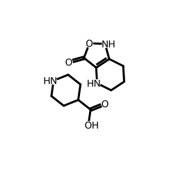 O=C(O)C1CCNCC1.O=c1o[nH]c2c1NCCC2